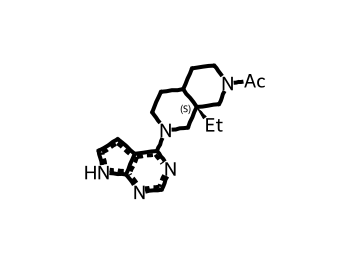 CC[C@]12CN(C(C)=O)CCC1CCN(c1ncnc3[nH]ccc13)C2